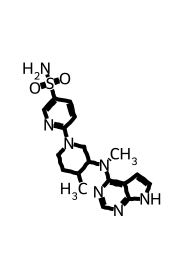 CC1CCN(c2ccc(S(N)(=O)=O)cn2)CC1N(C)c1ncnc2[nH]ccc12